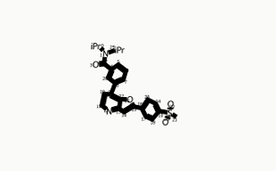 CC(C)N(C(=O)c1cccc(-c2ccnc3cc(-c4ccc(S(C)(=O)=O)cc4)oc23)c1)C(C)C